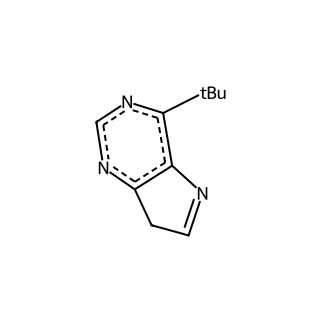 CC(C)(C)c1ncnc2c1N=CC2